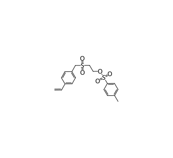 C=Cc1ccc(CS(=O)(=O)CCOS(=O)(=O)c2ccc(C)cc2)cc1